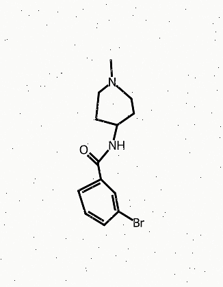 CN1CCC(NC(=O)c2cccc(Br)c2)CC1